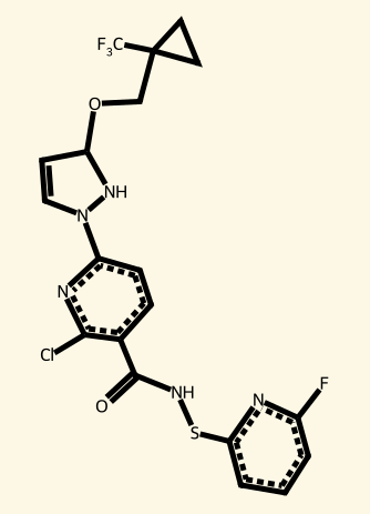 O=C(NSc1cccc(F)n1)c1ccc(N2C=CC(OCC3(C(F)(F)F)CC3)N2)nc1Cl